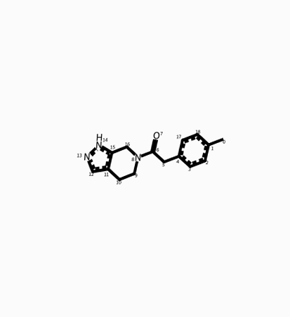 Cc1ccc(CC(=O)N2CCc3cn[nH]c3C2)cc1